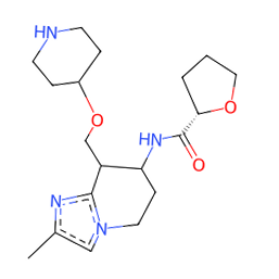 Cc1cn2c(n1)C(COC1CCNCC1)C(NC(=O)[C@@H]1CCCO1)CC2